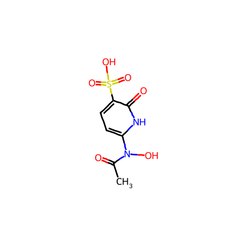 CC(=O)N(O)c1ccc(S(=O)(=O)O)c(=O)[nH]1